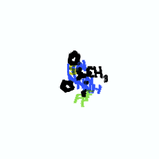 Cc1nc(NCC(F)(F)F)nc(NC2CCCC2)c1-c1nc2ccccc2s1